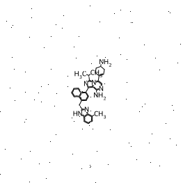 Cc1cccc2[nH]c(Cc3ccc(-c4nc(C(C)C)n5c(C6=CCC(N)CC6)cnc(N)c45)c4ccccc34)nc12